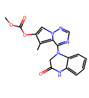 COC(=O)Oc1cn2ncnc(N3CC(=O)Nc4ccccc43)c2c1C